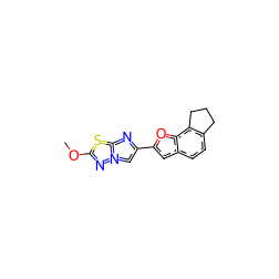 COc1nn2cc(-c3cc4ccc5c(c4o3)CCC5)nc2s1